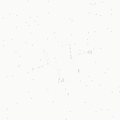 NC1C(F)=CC=CC1(O)F